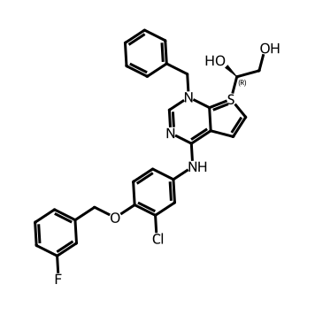 OC[C@H](O)S1=C2C(=C(Nc3ccc(OCc4cccc(F)c4)c(Cl)c3)N=CN2Cc2ccccc2)C=C1